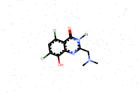 CCn1c(CN(C)C)nc2c(O)c(Cl)cc(Cl)c2c1=O